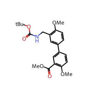 COC(=O)c1cc(-c2ccc(OC)c(CNC(=O)OC(C)(C)C)c2)ccc1OC